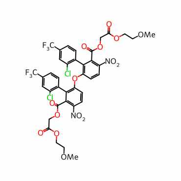 COCCOC(=O)COC(=O)c1c([N+](=O)[O-])ccc(Oc2ccc([N+](=O)[O-])c(C(=O)OCC(=O)OCCOC)c2-c2ccc(C(F)(F)F)cc2Cl)c1-c1ccc(C(F)(F)F)cc1Cl